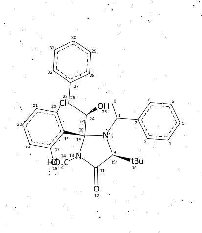 CC(c1ccccc1)N1[C@@H](C(C)(C)C)C(=O)N(C(=O)O)[C@]1(c1c(Cl)cccc1Cl)[C@H](O)Cc1ccccc1